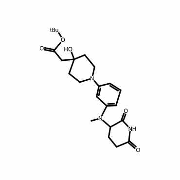 CN(c1cccc(N2CCC(O)(CC(=O)OC(C)(C)C)CC2)c1)C1CCC(=O)NC1=O